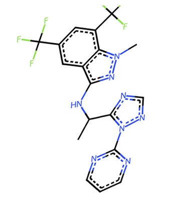 CC(Nc1nn(C)c2c(C(F)(F)F)cc(C(F)(F)F)cc12)c1ncnn1-c1ncccn1